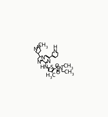 CCN(CC)S(=O)(=O)c1sc(NC2=NC(C3=CCCNC3)=CN3C2=NCC3C2C=NN(C)C2)cc1C